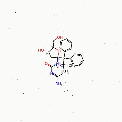 CC(C)(C)[Si](c1ccccc1)(c1ccccc1)[C@]1(n2ccc(N)nc2=O)C[C@H](O)[C@@H](CO)O1